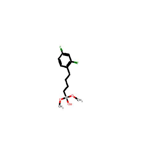 CO[Si](O)(CCCCc1ccc(F)cc1F)OC